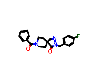 O=C(c1ccccc1)N1CCC2(C=NN(Cc3ccc(F)cc3)C2=O)CC1